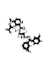 COc1ccnc(C(=O)N[C@@H](C)C(=O)NN=C(c2cccc(C)c2)c2cccc(C)c2)c1OC(=O)C(C)C